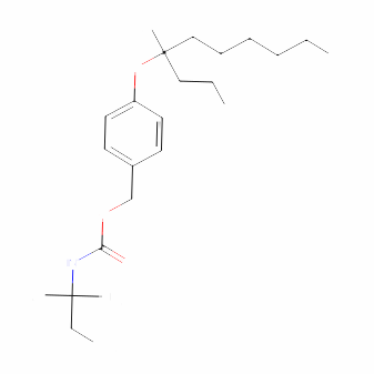 CCCCCCC(C)(CCC)Oc1ccc(COC(=O)NC(C)(C)CC)cc1